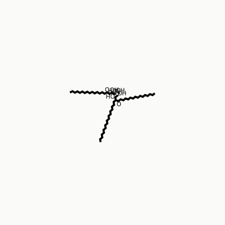 CCCCCCCCCCCCCCCCCCC(C(=O)CCCCCCCCCCCCCCC)C(O)CP(O)(O)(O)CC(O)CC(=O)CCCCCCCCCCCCCCC